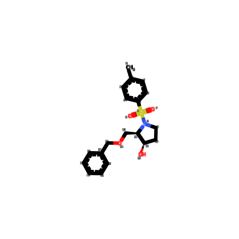 Cc1ccc(S(=O)(=O)N2CC[C@H](O)[C@H]2COCc2ccccc2)cc1